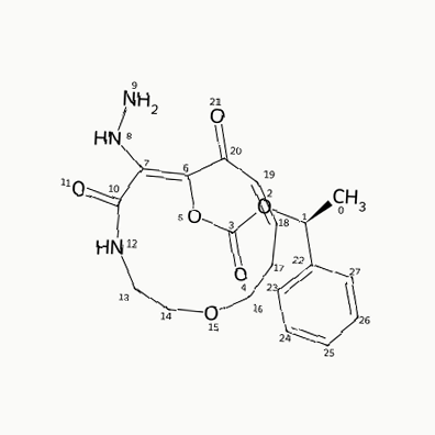 C[C@H](OC(=O)O/C1=C(/NN)C(=O)NCCOCC/C=C\C1=O)c1ccccc1